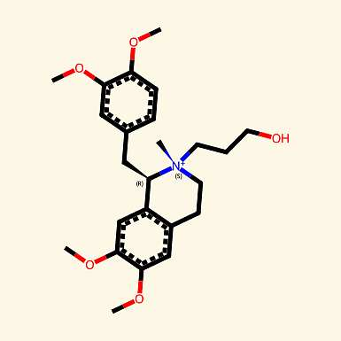 COc1ccc(C[C@@H]2c3cc(OC)c(OC)cc3CC[N@@+]2(C)CCCO)cc1OC